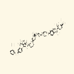 Nc1ncnc2c1c(-c1ccc(Oc3ccccc3)cc1)nn2C1CCCN(C2CN(C(=O)N3CC(N4CCN(c5ccc6c(c5)CN(C5CCC(=O)NC5=O)C6=O)CC4)C3)C2)C1